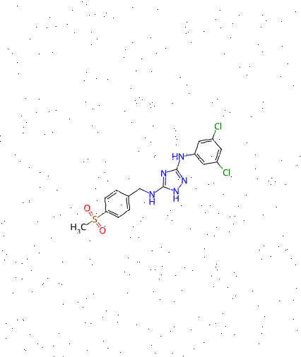 CS(=O)(=O)c1ccc(CNc2nc(Nc3cc(Cl)cc(Cl)c3)n[nH]2)cc1